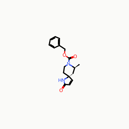 C[C@H]1C[C@@]2(C=CC(=O)N2)CCN1C(=O)OCc1ccccc1